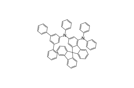 c1ccc(-c2cc(-c3ccccc3)cc(N(c3ccccc3)c3cc(N(c4ccccc4)c4ccccc4)c4c(c3)C3(c5ccccc5-c5ccccc53)c3ccccc3-4)c2)cc1